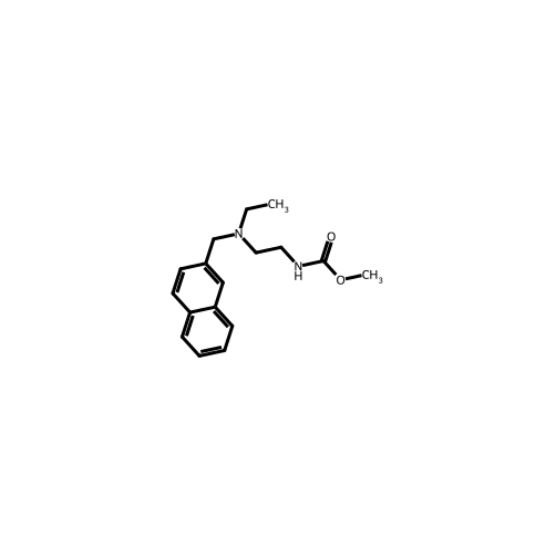 CCN(CCNC(=O)OC)Cc1ccc2ccccc2c1